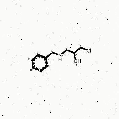 OC(CCl)CNCc1ccccc1